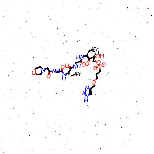 CC(C)C[C@H](NC(=O)CNC(=O)CN1CCOCC1)C(=O)NCC(=O)N[C@@H](CC(C)C)C(=O)C(C)(O)COS(=O)(=O)CCCOCc1c[nH]nn1